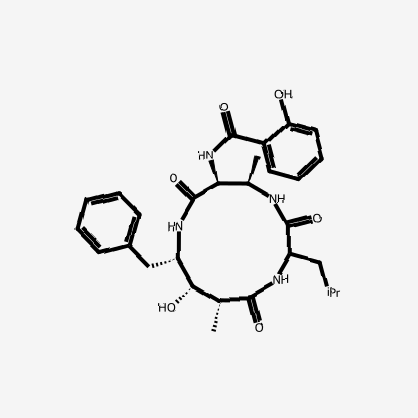 CC(C)CC1NC(=O)[C@H](C)[C@H](O)[C@H](Cc2ccccc2)NC(=O)[C@@H](NC(=O)c2ccccc2O)[C@@H](C)NC1=O